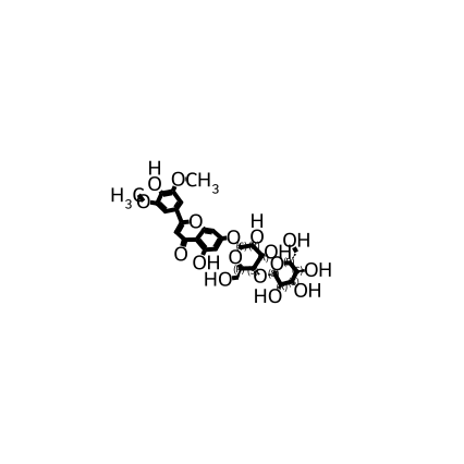 COc1cc(-c2cc(=O)c3c(O)cc(O[C@@H]4O[C@H](CO)[C@@H](O[C@@H]5O[C@H](CO)[C@@H](O)[C@H](O)[C@H]5O)[C@H](O)[C@H]4O)cc3o2)cc(OC)c1O